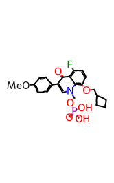 COc1ccc(-c2cn(COP(=O)(O)O)c3c(OCC4CCC4)ccc(F)c3c2=O)cc1